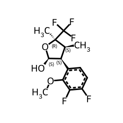 COc1c([C@H]2[C@@H](O)O[C@@](C)(C(F)(F)F)[C@H]2C)ccc(F)c1F